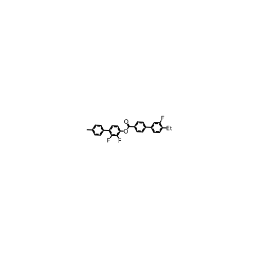 CCc1ccc(-c2ccc(C(=O)Oc3ccc(-c4ccc(C)cc4)c(F)c3F)cc2)cc1F